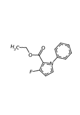 CCOC(=O)c1c(F)ccn1-c1ccccc1